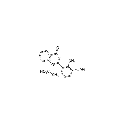 CC(=O)O.COc1cccc(-c2cc(=O)c3ccccc3o2)c1N